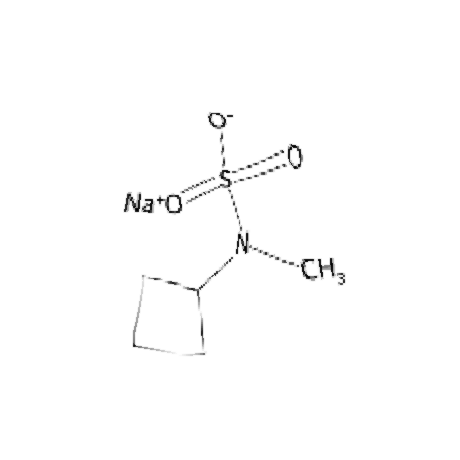 CN(C1CCC1)S(=O)(=O)[O-].[Na+]